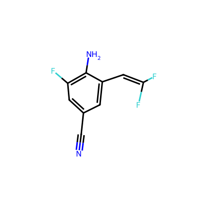 N#Cc1cc(F)c(N)c(C=C(F)F)c1